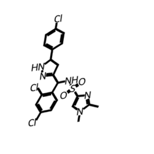 Cc1nc(S(=O)(=O)NC(C2=NNC(c3ccc(Cl)cc3)C2)c2ccc(Cl)cc2Cl)cn1C